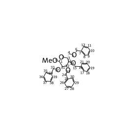 COC1O[C@H](COCc2ccccc2)[C@@H](OCc2ccccc2)[C@H](OCc2ccccc2)[C@@H]1OCc1ccccc1